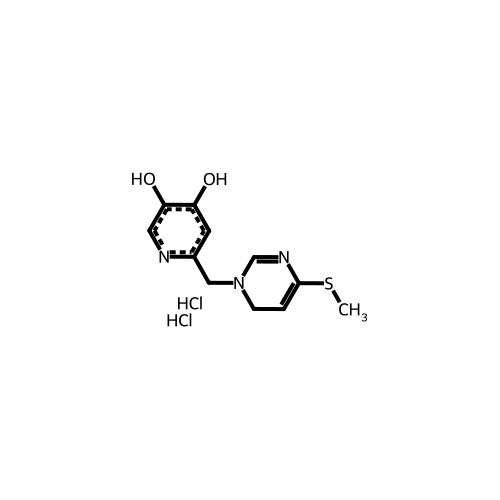 CSC1=CCN(Cc2cc(O)c(O)cn2)C=N1.Cl.Cl